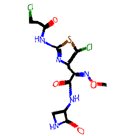 CON=C(C(=O)NC1CNC1=O)c1nc(NC(=O)CCl)sc1Cl